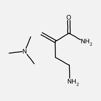 C=C(CCN)C(N)=O.CN(C)C